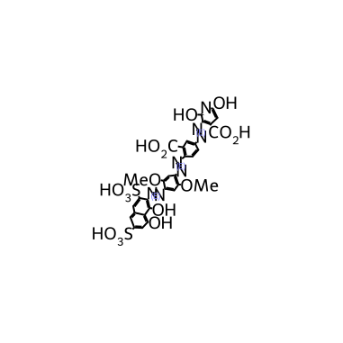 COc1cc(/N=N/c2c(S(=O)(=O)O)cc3cc(S(=O)(=O)O)cc(O)c3c2O)c(OC)cc1/N=N/c1ccc(/N=N/c2c(C(=O)O)cc(O)nc2O)cc1C(=O)O